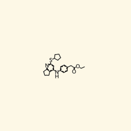 CCOC(=O)Cc1ccc(Nc2cc(SC3CCCC3)nc3c2CCC3)cc1